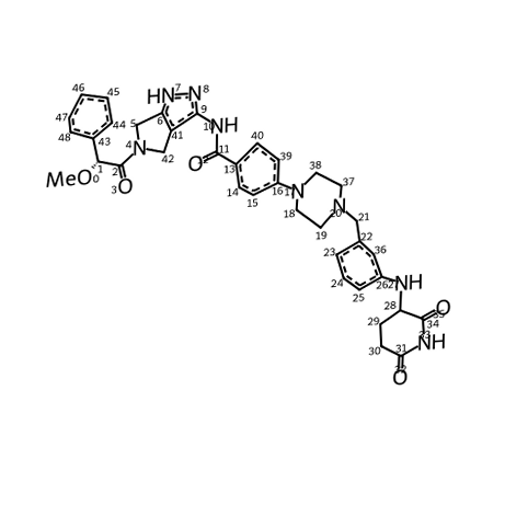 CO[C@@H](C(=O)N1Cc2[nH]nc(NC(=O)c3ccc(N4CCN(Cc5cccc(NC6CCC(=O)NC6=O)c5)CC4)cc3)c2C1)c1ccccc1